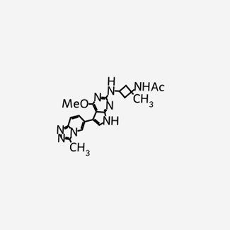 COc1nc(NC2CC(C)(NC(C)=O)C2)nc2[nH]cc(-c3ccc4nnc(C)n4c3)c12